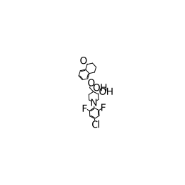 O=C1CCCc2c(OC[C@]3(O)CCN(c4c(F)cc(Cl)cc4F)C[C@H]3O)cccc21